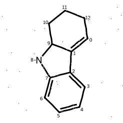 C1=C2c3ccccc3[N]C2CCC1